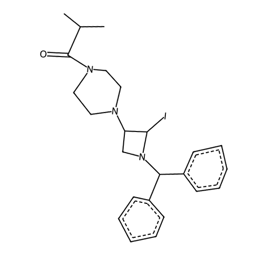 CC(C)C(=O)N1CCN(C2CN(C(c3ccccc3)c3ccccc3)C2I)CC1